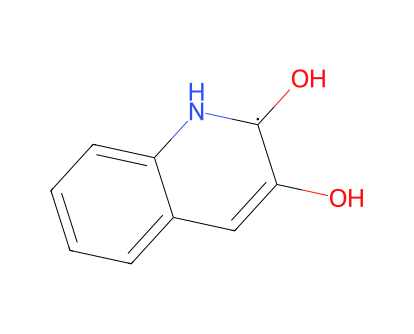 O[C]1Nc2ccccc2C=C1O